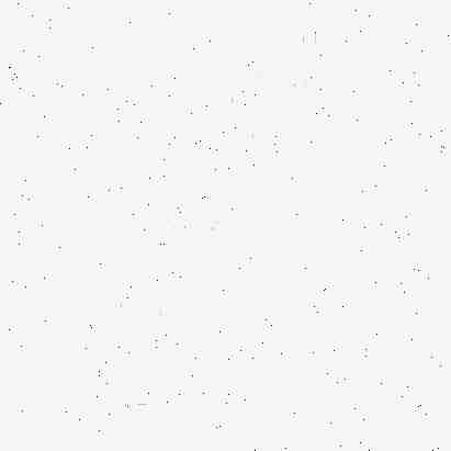 C=CC(=O)OCOC(=O)Oc1ccc(C(=O)Oc2ccc(OC(=O)C3CCC(C)CC3)cc2)cc1